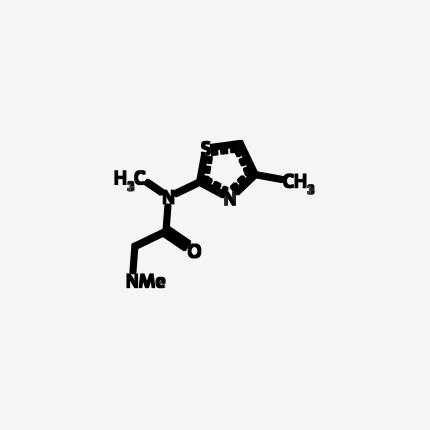 CNCC(=O)N(C)c1nc(C)cs1